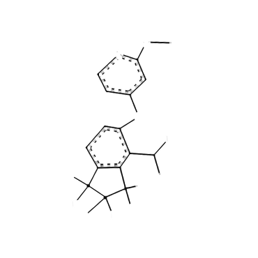 COc1cc(Oc2ccc3c(c2C(F)F)C(O)(O)C(F)(F)C3(F)F)ccn1